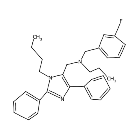 CCCCn1c(-c2ccccc2)nc(-c2ccccc2)c1CN(CCC)Cc1cccc(F)c1